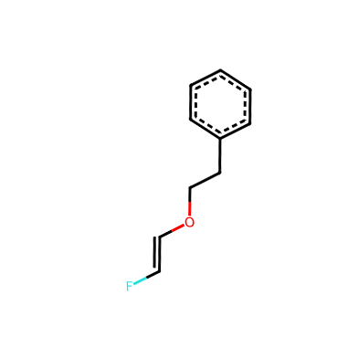 FC=COCCc1ccccc1